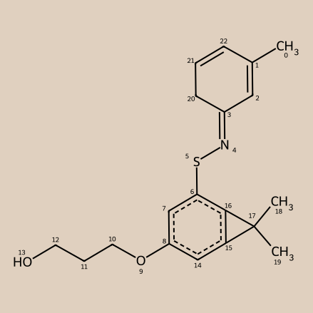 CC1=CC(=NSc2cc(OCCCO)cc3c2C3(C)C)CC=C1